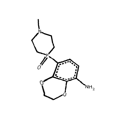 CN1CCP(=O)(c2ccc(N)c3c2OCCO3)CC1